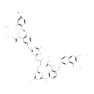 CC(CNc1nc(F)nc(Nc2ccc(/N=N/c3cc4c(S(=O)(=O)O)cc(S(=O)(=O)O)cc4cc3S(=O)(=O)O)c(NC(N)=O)c2)n1)Nc1nc(F)nc(Nc2ccc(/N=N/c3ccc([SH](=O)=O)cc3S(=O)(=O)O)c(NC(N)=O)c2)n1